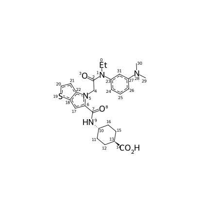 CCN(C(=O)Cn1c(C(=O)N[C@H]2CC[C@H](C(=O)O)CC2)cc2sccc21)c1cccc(N(C)C)c1